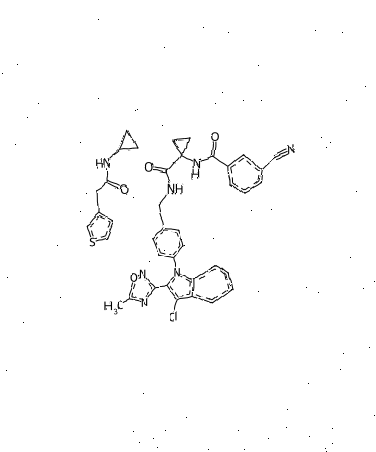 Cc1nc(-c2c(Cl)c3ccccc3n2-c2ccc(CNC(=O)C3(NC(=O)c4cccc(C#N)c4)CC3)cc2)no1.O=C(Cc1ccsc1)NC1CC1